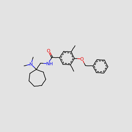 Cc1cc(C(=O)NCC2(N(C)C)CCCCCC2)cc(C)c1OCc1ccccc1